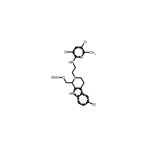 Cc1nc(NCCN2CCc3c([nH]c4ccc(Cl)cc34)C2COC=O)c(Cl)cc1Cl